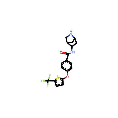 O=C(NC1CC2CC1CN2)c1ccc(Oc2ccc(C(F)(F)F)s2)cc1